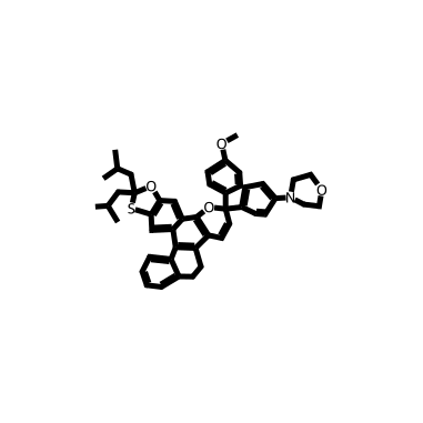 COc1ccc(C2(c3ccc(N4CCOCC4)cc3)C=Cc3c4c(c5cc6c(cc5c3O2)OC(CC(C)C)(CC(C)C)S6)-c2ccccc2CC4)cc1